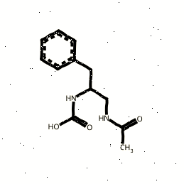 CC(=O)NCC(Cc1ccccc1)NC(=O)O